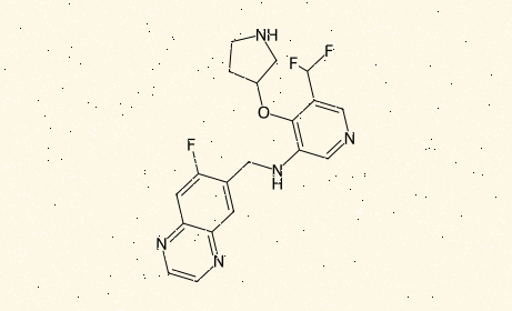 Fc1cc2nccnc2cc1CNc1cncc(C(F)F)c1OC1CCNC1